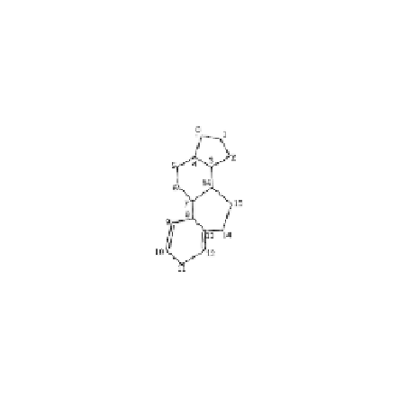 [CH]1CCC2C1CCC1C3C=CCC=C3CCC21